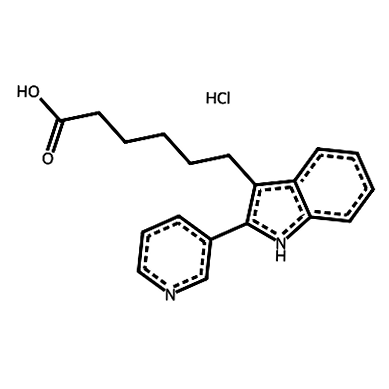 Cl.O=C(O)CCCCCc1c(-c2cccnc2)[nH]c2ccccc12